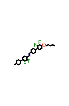 C=CCCCOc1ccc(C2CCC(/C=C/c3ccc(C4CCC(C)CC4)c(F)c3F)CC2)c(F)c1F